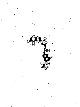 CC(C(=O)Nc1cc(F)c2c(c1)CC(CNCCC1CN(c3cnc4c(n3)NC(=O)CO4)C(=O)O1)C2)N(C)C